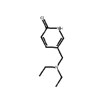 CCN(CC)Cc1ccc(=O)[nH]c1